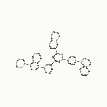 c1ccc(-c2ccc(-c3cccc(-c4nc(-c5ccc(-c6cccc7ccccc67)cc5)nc(-c5ccc6ccccc6c5)n4)c3)c3ccccc23)cc1